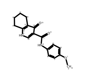 COc1ccc(NC(=O)c2c[nH]c3c(c2=O)CCCC3)cc1